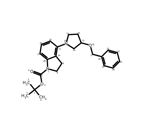 CC(C)(C)OC(=O)N1CCc2c(N3CCC(OCc4ccccc4)C3)cccc21